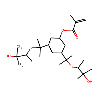 C=C(C)C(=O)OC1CC(C(C)(C)OC(C)C(C)(C)O)CC(C(C)(C)OC(C)C(O)(C(F)(F)F)C(F)(F)F)C1